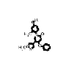 CCOc1ccc(-n2cc(-c3cnn(C)c3)c(Oc3ccccc3)cc2=O)c(C)c1